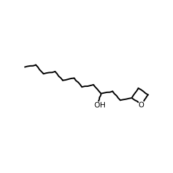 CCCCCCCCC(O)CCC1CCO1